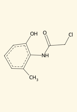 Cc1cccc(O)c1NC(=O)CCl